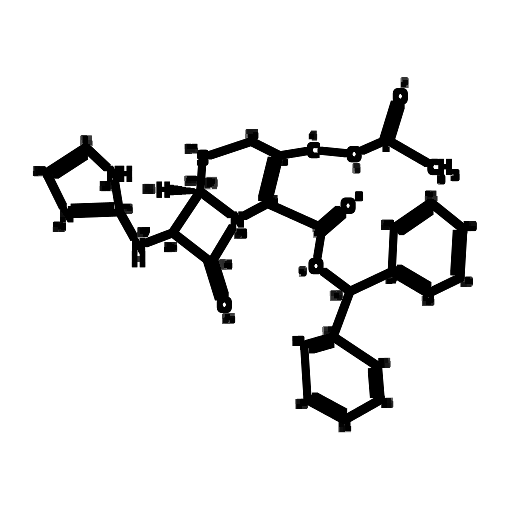 CC(=O)OCC1=C(C(=O)OC(c2ccccc2)c2ccccc2)N2C(=O)C(Nc3ncc[nH]3)[C@H]2SC1